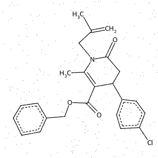 C=C(C)CN1C(=O)CC(c2ccc(Cl)cc2)C(C(=O)OCc2ccccc2)=C1C